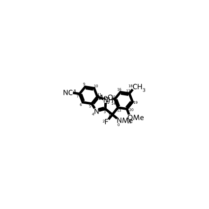 CNC(F)(c1nc2cc(C#N)ccc2[nH]1)c1c(OC)cc(C)cc1OC